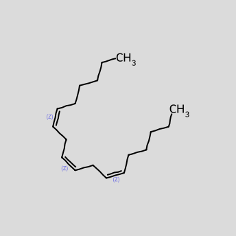 CCCCC/C=C\C/C=C\C/C=C\CCCCC